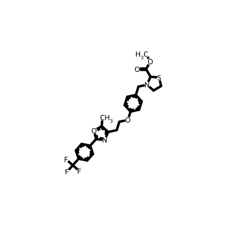 COC(=O)C1SCCN1Cc1ccc(OCCc2nc(-c3ccc(C(F)(F)F)cc3)oc2C)cc1